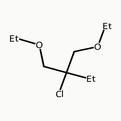 CCOCC(Cl)(CC)COCC